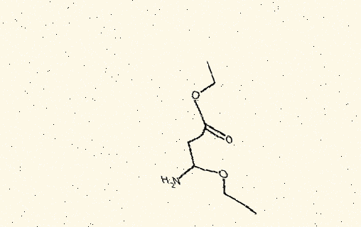 CCOC(=O)CC(N)OCC